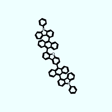 c1ccc(-n2c3ccccc3c3c(-c4c5ccccc5c(-c5ccc6oc7c(-c8c9ccccc9c(-c9cccc%10c9c9ccccc9n%10-c9ccccc9)c9ccccc89)cccc7c6c5)c5ccccc45)cccc32)cc1